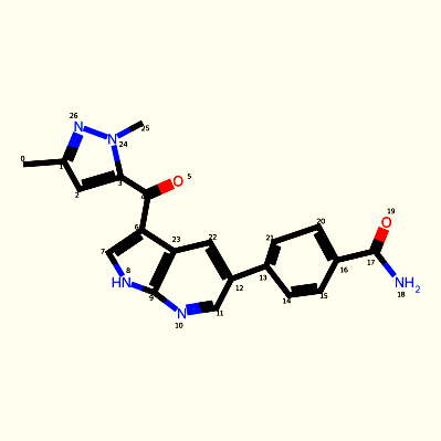 Cc1cc(C(=O)c2c[nH]c3ncc(-c4ccc(C(N)=O)cc4)cc23)n(C)n1